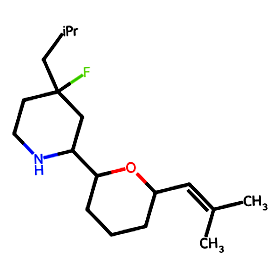 CC(C)=CC1CCCC(C2CC(F)(CC(C)C)CCN2)O1